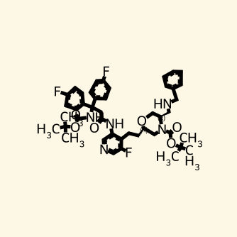 CC(C)(C)OC(=O)NC(CC(=O)Nc1cncc(F)c1CC[C@@H]1CN(C(=O)OC(C)(C)C)[C@H](CNCc2ccccc2)CO1)(c1ccc(F)cc1)c1ccc(F)cc1